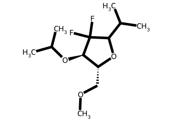 COC[C@H]1OC(C(C)C)C(F)(F)[C@@H]1OC(C)C